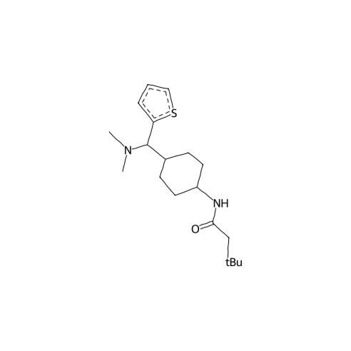 CN(C)C(c1cccs1)C1CCC(NC(=O)CC(C)(C)C)CC1